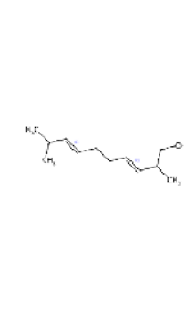 CC(C)/C=C/CC/C=C/C(C)C[O]